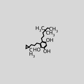 CCC(C)(C)CCCc1c(O)cc(O)c(O)c1CCCC1(C)CC1